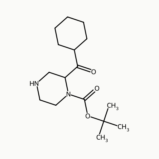 CC(C)(C)OC(=O)N1CCNCC1C(=O)C1CCCCC1